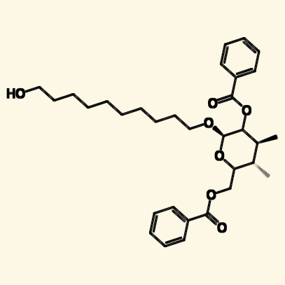 C[C@@H]1C(COC(=O)c2ccccc2)O[C@@H](OCCCCCCCCCCO)C(OC(=O)c2ccccc2)[C@H]1C